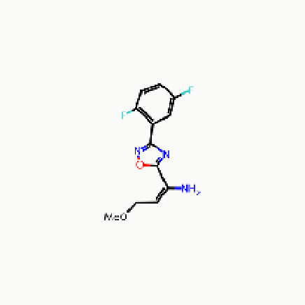 COC/C=C(/N)c1nc(-c2cc(F)ccc2F)no1